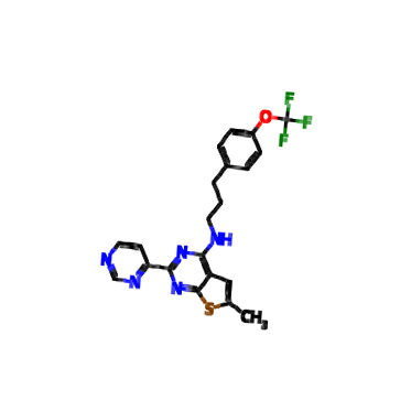 Cc1cc2c(NCCCc3ccc(OC(F)(F)F)cc3)nc(-c3ccncn3)nc2s1